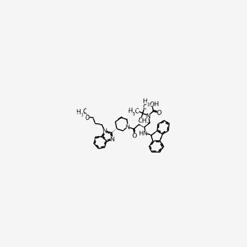 COCCCn1c([C@@H]2CCCN(C(=O)C[C@@H](CN(C(=O)O)C(C)(C)C)NC3c4ccccc4-c4ccccc43)C2)nc2ccccc21